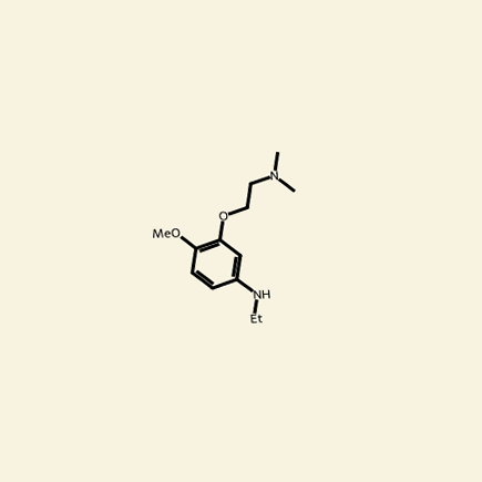 CCNc1ccc(OC)c(OCCN(C)C)c1